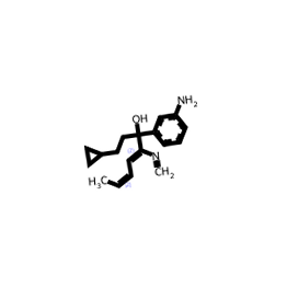 C=N/C(=C\C=C/C)C(O)(CCC1CC1)c1cccc(N)c1